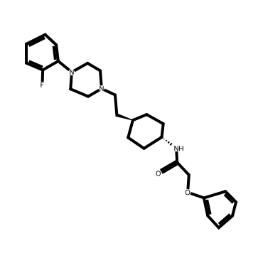 O=C(COc1ccccc1)N[C@H]1CC[C@H](CCN2CCN(c3ccccc3F)CC2)CC1